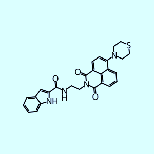 O=C(NCCN1C(=O)c2cccc3c(N4CCSCC4)ccc(c23)C1=O)c1cc2ccccc2[nH]1